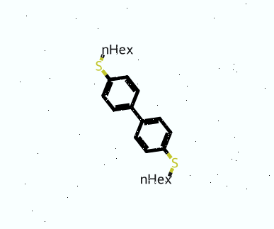 CCCCCCSc1ccc(-c2ccc(SCCCCCC)cc2)cc1